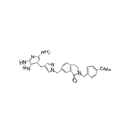 COc1ccc(CN2CCc3ccc(Cn4cc(Cc5cc(N)nc6[nH]nnc56)cn4)cc3C2=O)cc1